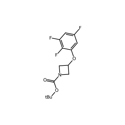 CC(C)(C)OC(=O)N1CC(Oc2cc(F)cc(F)c2F)C1